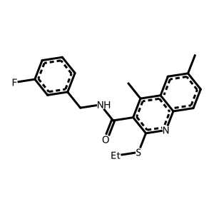 CCSc1nc2ccc(C)cc2c(C)c1C(=O)NCc1cccc(F)c1